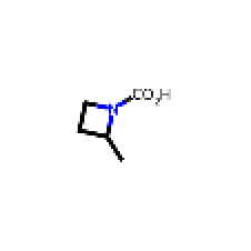 CC1CCN1C(=O)O